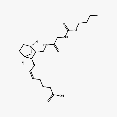 CCCCOC(=O)NCC(=O)NC[C@H]1[C@@H](C/C=C\CCCC(=O)O)[C@H]2CC[C@@H]1S2